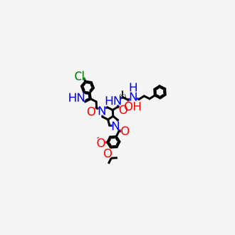 COc1cc(C(=O)N2CC3CN(C(=O)Cc4c[nH]c5cc(Cl)ccc45)CC(C(=O)N[C@@H](C)C(O)NCCCc4ccccc4)C3C2)ccc1OC(C)C